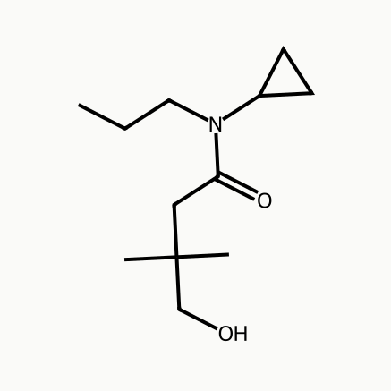 CCCN(C(=O)CC(C)(C)CO)C1CC1